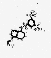 CS(=O)(=O)c1cc(S(C)(=O)=O)cc(S(=O)(=O)NC2CCCCc3c(OCC(=O)O)cccc32)c1